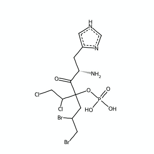 N[C@@H](Cc1c[nH]cn1)C(=O)C(CC(Br)CBr)(OP(=O)(O)O)C(Cl)CCl